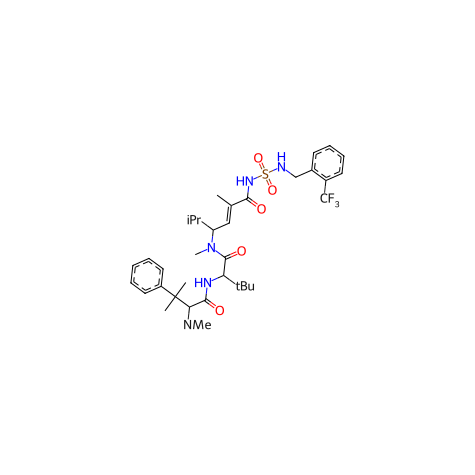 CNC(C(=O)NC(C(=O)N(C)C(/C=C(\C)C(=O)NS(=O)(=O)NCc1ccccc1C(F)(F)F)C(C)C)C(C)(C)C)C(C)(C)c1ccccc1